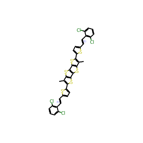 Cc1c(-c2ccc(/C=C/c3c(Cl)cccc3Cl)s2)sc2c1sc1c3sc(-c4ccc(/C=C/c5c(Cl)cccc5Cl)s4)c(C)c3sc21